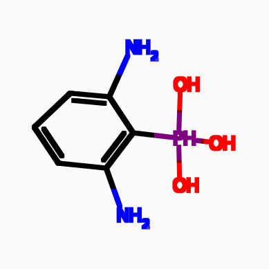 Nc1cccc(N)c1[PH](O)(O)O